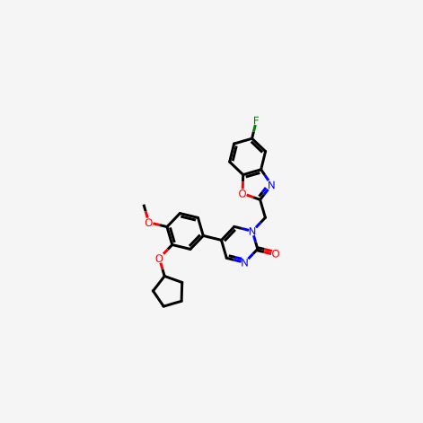 COc1ccc(-c2cnc(=O)n(Cc3nc4cc(F)ccc4o3)c2)cc1OC1CCCC1